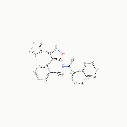 O=C(O)c1ccccc1-c1c(-c2ccsc2)noc1NC(=O)c1cccc2ccccc12